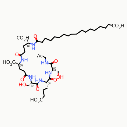 CC(=O)CNC(=O)[C@H](CO)NC(=O)[C@H](CCCC(=O)O)NC(=O)[C@H](CO)NC(=O)CC[C@H](NC(=O)CC[C@H](NC(=O)CCCCCCCCCCCCCCCCC(=O)O)C(=O)O)C(=O)O